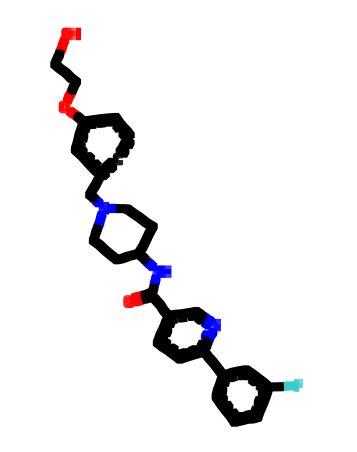 O=C(NC1CCN(Cc2cccc(OCCO)c2)CC1)c1ccc(-c2cccc(F)c2)nc1